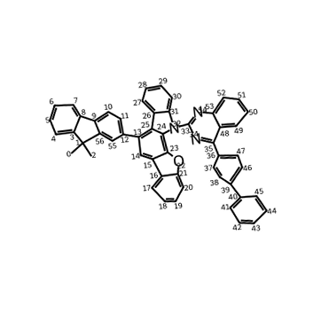 CC1(C)c2ccccc2-c2ccc(-c3cc4c5ccccc5oc4c4c3c3ccccc3n4-c3nc(-c4ccc(-c5ccccc5)cc4)c4ccccc4n3)cc21